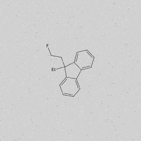 CCC1(CCF)c2ccccc2-c2ccccc21